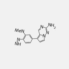 CNc1cc(-c2ccn3nc(N)ncc23)ccc1N=N